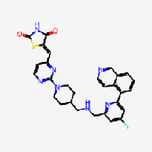 O=C1NC(=O)/C(=C/c2ccnc(N3CCC(CNCc4cc(F)cc(-c5cccc6cnccc56)n4)CC3)n2)S1